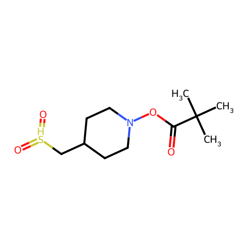 CC(C)(C)C(=O)ON1CCC(C[SH](=O)=O)CC1